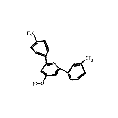 CCOc1cc(-c2ccc(C(F)(F)F)cc2)nc(-c2cccc(C(F)(F)F)c2)c1